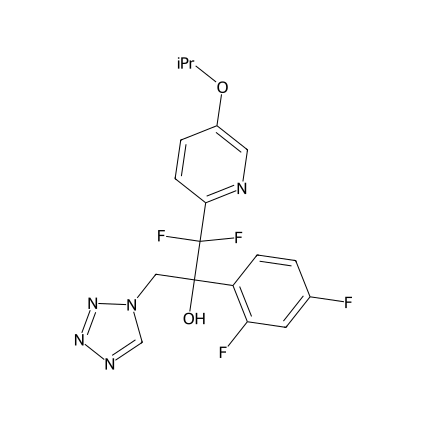 CC(C)Oc1ccc(C(F)(F)C(O)(Cn2cnnn2)c2ccc(F)cc2F)nc1